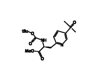 COC(=O)[C@H](Cc1ccc(P(C)(C)=O)cn1)NC(=O)OC(C)(C)C